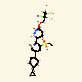 CCS(=O)(=O)c1cc(-c2ccc(C3CC3)cc2)cnc1-c1ccc(OCC(F)(F)C(F)(F)F)nn1